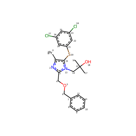 CC(C)c1nc(COCc2ccccc2)n(CC(C)(C)O)c1Sc1cc(Cl)cc(Cl)c1